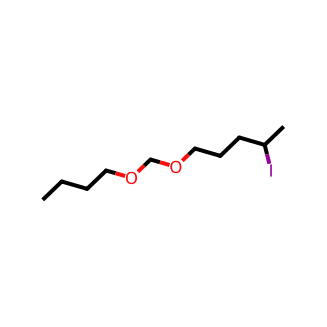 CCCCOCOCCCC(C)I